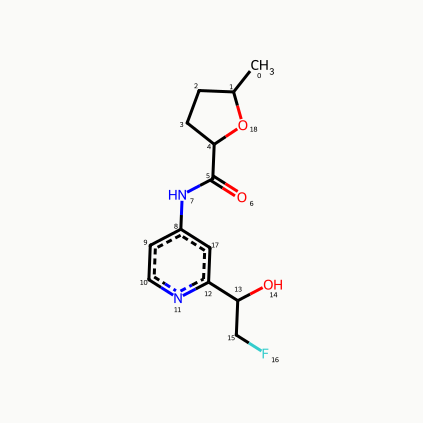 CC1CCC(C(=O)Nc2ccnc(C(O)CF)c2)O1